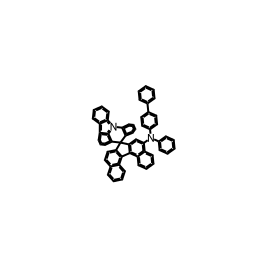 c1ccc(-c2ccc(N(c3ccccc3)c3cc4c(c5ccccc35)-c3c(ccc5ccccc35)C43c4ccccc4-n4c5ccccc5c5cccc3c54)cc2)cc1